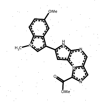 COC(=O)c1ncc2cnc3[nH]c(-c4cn(C)c5ccc(OC)cc45)cc3n12